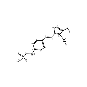 CCc1nsc(/N=N/c2ccc(NCS(=O)(=O)O)cc2)c1C#N